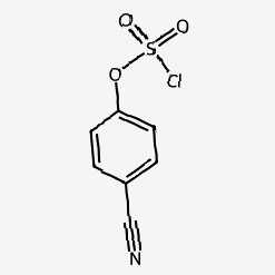 N#Cc1ccc(OS(=O)(=O)Cl)cc1